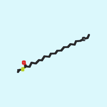 C[CH]SC(=O)CCCCCCCCCCCCCCCCCCCC